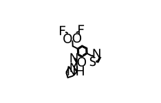 FCOC(Cc1ccc(-c2nccs2)c2oc(N3CC4CC(C3)N4)nc12)OCF